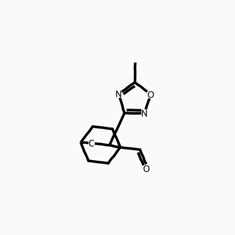 Cc1nc(C2CC3CCC2(C=O)CC3)no1